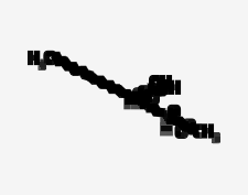 CCC=CCC=CCC=CCC=CCC=CCCCC(=O)N[C@@H](CCCCNC(=O)C=CC(=O)OCC)C(=O)OC(CO)CO